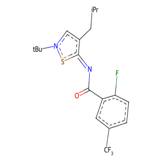 CC(C)Cc1cn(C(C)(C)C)s/c1=N\C(=O)c1cc(C(F)(F)F)ccc1F